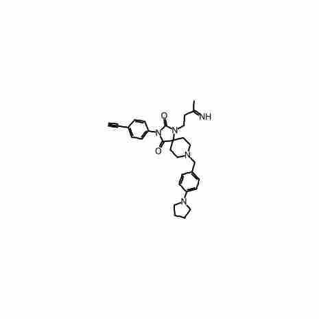 C#Cc1ccc(N2C(=O)N(CCC(C)=N)C3(CCN(Cc4ccc(N5CCCC5)cc4)CC3)C2=O)cc1